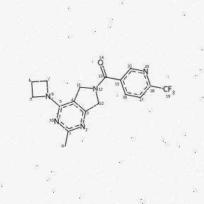 Cc1nc2c(c(N3CCC3)n1)CN(C(=O)c1ccc(C(F)(F)F)nc1)C2